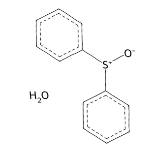 O.[O-][S+](c1ccccc1)c1ccccc1